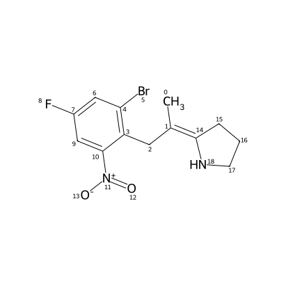 CC(Cc1c(Br)cc(F)cc1[N+](=O)[O-])=C1CCCN1